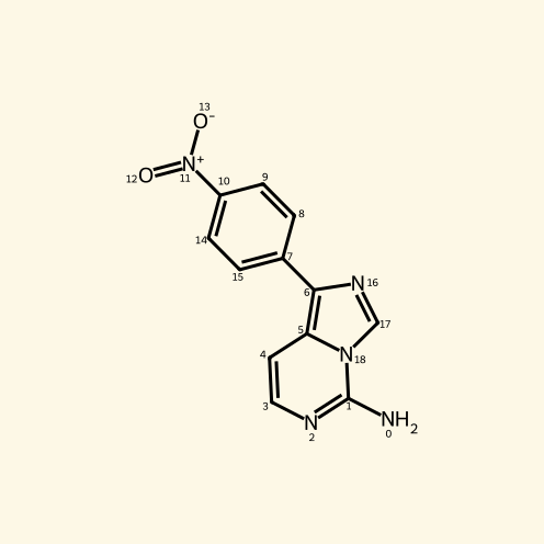 Nc1nccc2c(-c3ccc([N+](=O)[O-])cc3)ncn12